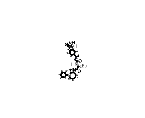 C/C(=C\C(=O)N[C@H](C(=O)NC1CCCCN(c2ccccc2)C1=O)C(C)(C)C)c1ccc(OP(=O)(O)O)cc1